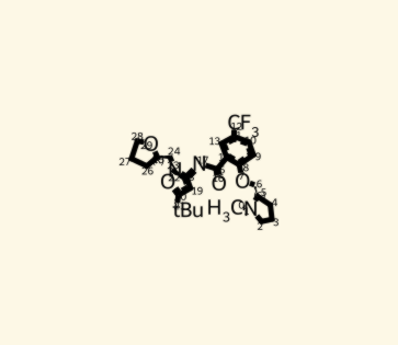 CN1CCC[C@H]1COc1ccc(C(F)(F)F)cc1C(=O)N=c1cc(C(C)(C)C)on1C[C@H]1CCCO1